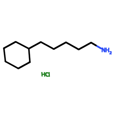 Cl.NCCCCCC1CCCCC1